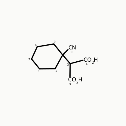 N#CC1(C(C(=O)O)C(=O)O)CCCCC1